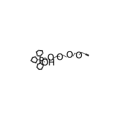 C#CCOCCOCCOCCOCCP(O)(c1ccccc1)(c1ccccc1)c1ccccc1